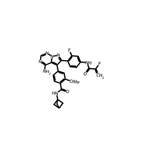 C=C(F)C(=O)Nc1ccc(-c2nn3ncnc(N)c3c2-c2ccc(C(=O)NC34CC(C3)C4)c(OC)c2)c(F)c1